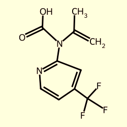 C=C(C)N(C(=O)O)c1cc(C(F)(F)F)ccn1